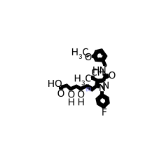 COc1cccc(CNC(=O)c2nn(-c3ccc(F)cc3)c(/C=C/C(O)CC(O)CC(=O)O)c2C(C)C)c1